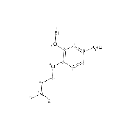 CCOc1cc(C=O)ccc1OCCN(C)C